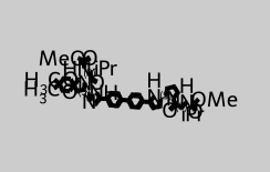 COC(=O)N[C@H](C(=O)N1CCC[C@H]1c1ccc(-c2ccc(-c3ccc(-c4cnc([C@@H]5CC6(CN5C(=O)[C@H](NC(=O)OC)C(C)C)OCC(C)(C)CO6)[nH]4)cc3)cc2)[nH]1)C(C)C